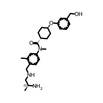 Cc1cc(N(C)C(=O)[C@H]2CC[C@H](Oc3cccc(CO)c3)CC2)ccc1CNC[C@H](C)N